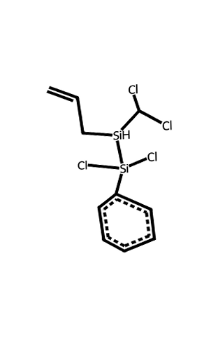 C=CC[SiH](C(Cl)Cl)[Si](Cl)(Cl)c1ccccc1